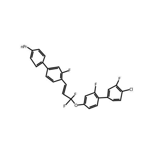 CCCc1ccc(-c2ccc(/C=C/C(F)(F)Oc3ccc(-c4ccc(Cl)c(F)c4)c(F)c3)c(F)c2)cc1